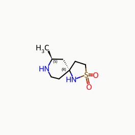 C[C@H]1C[C@]2(CCN1)CCS(=O)(=O)N2